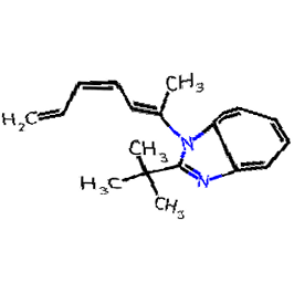 C=C/C=C\C=C(/C)n1c(C(C)(C)C)nc2ccccc21